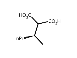 CCC[C@H](C)C(C(=O)O)C(=O)O